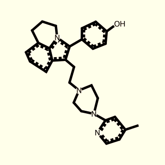 Cc1ccnc(N2CCN(CCc3c(-c4ccc(O)cc4)n4c5c(cccc35)CCC4)CC2)c1